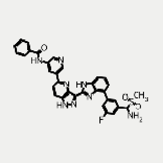 CS(=O)(=O)C(N)c1cc(F)cc(-c2cccc3[nH]c(-c4n[nH]c5ccc(-c6cncc(NC(=O)c7ccccc7)c6)nc45)nc23)c1